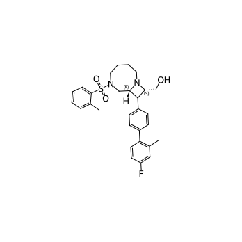 Cc1cc(F)ccc1-c1ccc(C2[C@@H](CO)N3CCCCN(S(=O)(=O)c4ccccc4C)C[C@@H]23)cc1